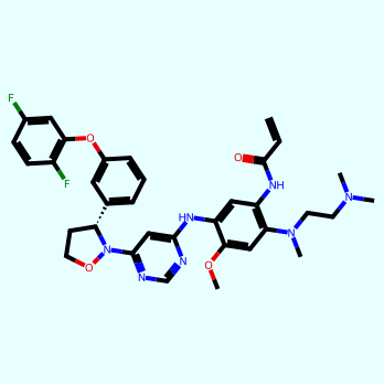 C=CC(=O)Nc1cc(Nc2cc(N3OCC[C@@H]3c3cccc(Oc4cc(F)ccc4F)c3)ncn2)c(OC)cc1N(C)CCN(C)C